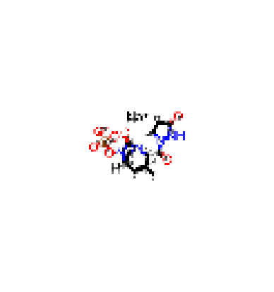 CC1=C[C@@H]2CN(C(=O)N2OS(=O)(=O)[O-])[C@@H]1C(=O)N1CCC(=O)N1.[Na+]